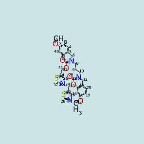 COc1ccc(CN(CCCN(Cc2ccc(OC)cc2)C(=O)OCc2cncs2)C(=O)OCc2cncs2)cc1